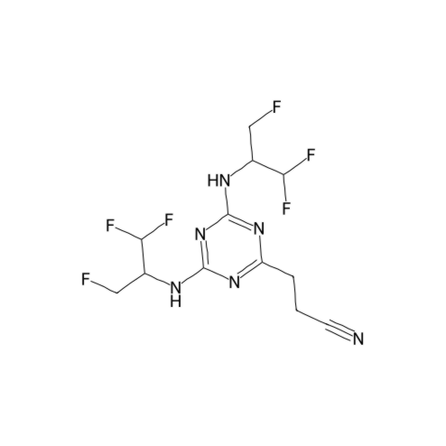 N#CCCc1nc(NC(CF)C(F)F)nc(NC(CF)C(F)F)n1